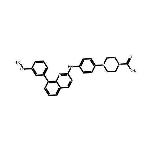 CNc1cccc(-c2cccc3cnc(Nc4ccc(N5CCN(C(C)=O)CC5)cc4)nc23)c1